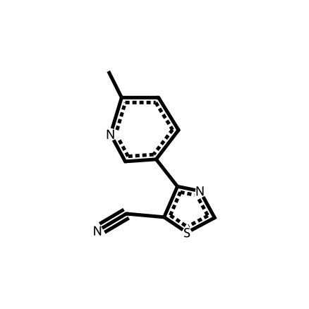 Cc1ccc(-c2ncsc2C#N)cn1